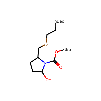 CCCCCCCCCCCCSCC1CCC(O)N1C(=O)OC(C)(C)C